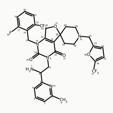 Cc1cccc(C(N)Cn2c(=O)c3c(n(Cc4c(F)cccc4C(F)(F)F)c2=O)COC32CCN(Cc3ccc(C(F)(F)F)o3)CC2)n1